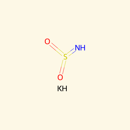 N=S(=O)=O.[KH]